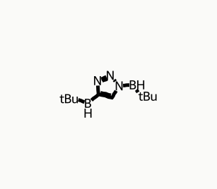 CC(C)(C)Bc1cn(BC(C)(C)C)nn1